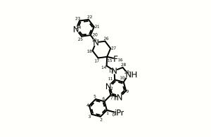 CC(C)c1ccccc1-c1ncc2c(n1)N(CC1(F)CCN(c3cccnc3)CC1)CN2